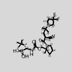 CC(C)(C)C[C@H](NC(=O)OCC1(C)CCCN1C(=O)C(C#N)=CC(C)(C)N1CCC(F)(F)C1)B(O)O